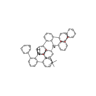 CC(C)(C)c1cc(Nc2c(-c3ccccc3)cccc2-c2ccccc2)cc(N(c2cccc(-c3ccccc3)c2)c2c(-c3ccccc3)cccc2-c2ccccc2)c1